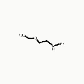 CC(C)NCCOCC(C)(C)C